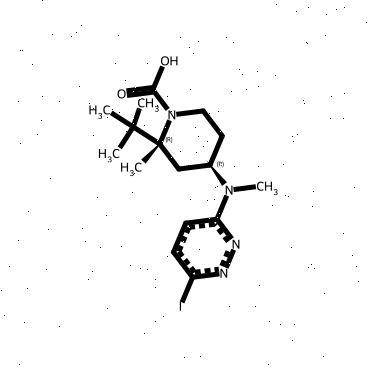 CN(c1ccc(I)nn1)[C@@H]1CCN(C(=O)O)[C@@](C)(C(C)(C)C)C1